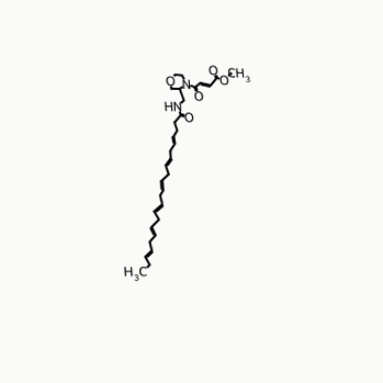 CCC=CCC=CCC=CCC=CCC=CCC=CCCC(=O)NCC1COCCN1C(=O)C=CC(=O)OC